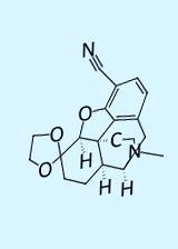 CN1CC[C@@]23c4c5ccc(C#N)c4O[C@@H]2C2(CC[C@@H]3[C@@H]1C5)OCCO2